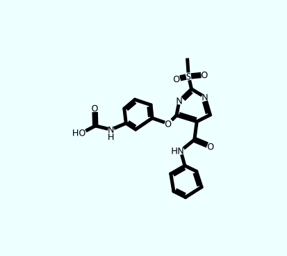 CS(=O)(=O)c1ncc(C(=O)Nc2ccccc2)c(Oc2cccc(NC(=O)O)c2)n1